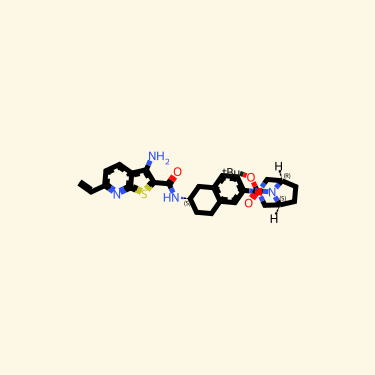 C=Cc1ccc2c(N)c(C(=O)N[C@H]3CCc4cc(N5C[C@H]6CC[C@@H](C5)N6C(=O)OC(C)(C)C)ccc4C3)sc2n1